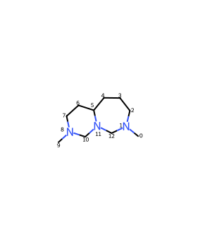 CN1CCCC2CCN(C)CN2C1